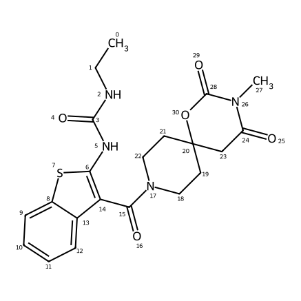 CCNC(=O)Nc1sc2ccccc2c1C(=O)N1CCC2(CC1)CC(=O)N(C)C(=O)O2